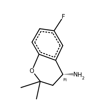 CC1(C)C[C@@H](N)c2cc(F)ccc2O1